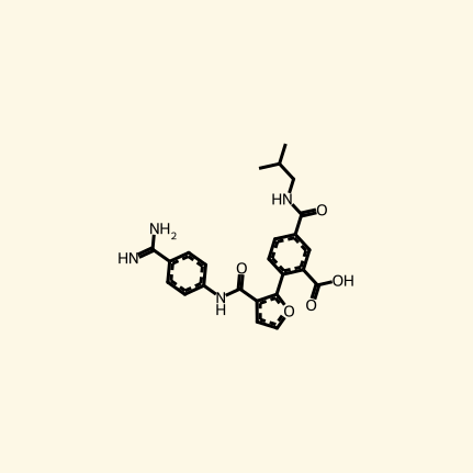 CC(C)CNC(=O)c1ccc(-c2occc2C(=O)Nc2ccc(C(=N)N)cc2)c(C(=O)O)c1